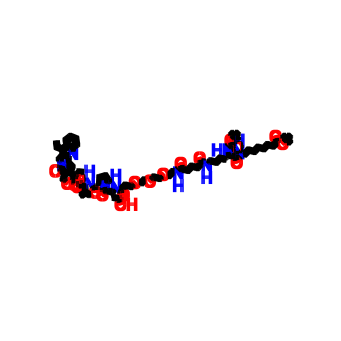 CCc1c2c(nc3ccccc13)-c1cc3c(c(=O)n1C2)COC(=O)[C@@]3(CC)OC(=O)[C@@H](NC(=O)[C@@H]1CCCN1C(=O)[C@H](CC(=O)O)NC(=O)CCOCCOCCOCCNC(=O)CCCC(=O)NCCCC[C@H](NC(=O)OC(C)(C)C)C(=O)NCCCCCCCC(=O)OC(C)(C)C)C(C)C